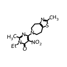 CCn1c(C)nc(N2CCc3nc(C)sc3CC2)c([N+](=O)[O-])c1=O